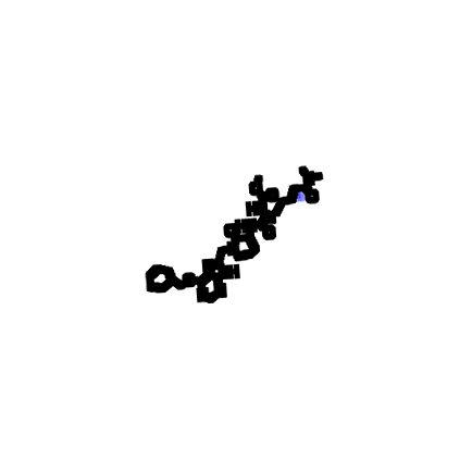 COC(=O)N[C@@H](CC/C=C/C(=O)N(C)C)C(=O)Nc1cccn(Cc2nc3c(OCc4ccccc4)ncnc3[nH]2)c1=O